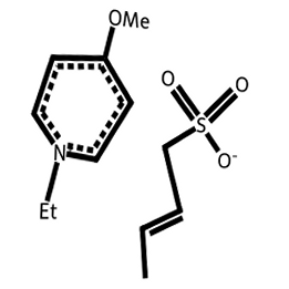 CC=CCS(=O)(=O)[O-].CC[n+]1ccc(OC)cc1